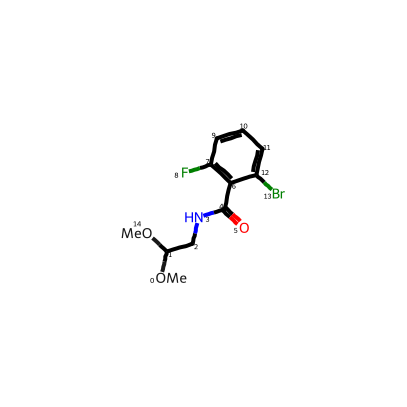 COC(CNC(=O)c1c(F)cccc1Br)OC